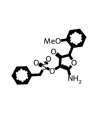 COc1ccccc1C1OC(N)=C(OS(=O)(=O)Cc2ccccc2)C1=O